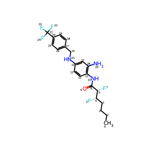 CCCC[C@H](F)[C@@H](F)C(=O)Nc1ccc(NCc2ccc(C(F)(F)F)cc2)cc1N